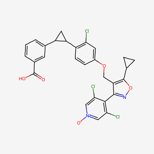 O=C(O)c1cccc(C2CC2c2ccc(OCc3c(-c4c(Cl)c[n+]([O-])cc4Cl)noc3C3CC3)cc2Cl)c1